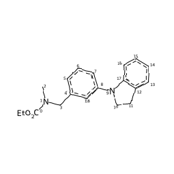 CCOC(=O)N(C)Cc1cccc(N2CCc3ccccc32)c1